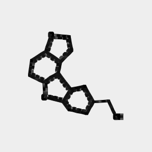 OCc1ccc2oc3ccc4occc4c3c2c1